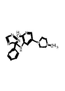 Cc1ncc(N2CCN(C)CC2)cc1NC1(c2ccccc2)N=CN=N1